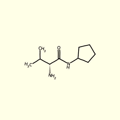 CC(C)[C@@H](N)C(=O)NC1CCCC1